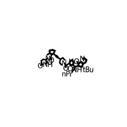 CCCC(=O)NC(c1cccc(C(=O)N2CCC(C#Cc3cccc4c3C(=O)N(C3CCC(=O)NC3=O)C4)CC2)c1)c1cc(C(C)(C)C)c2cccnc2c1O